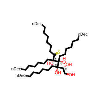 CCCCCCCCCCCCCCCCC(=S)[C@@](O)(CCCCCCCCCCCCCCCC)[C@](O)(CCCCCCCCCCCCCCCC)[C@@](O)(CCCCCCCCCCCCCCCC)[C@H](O)CO